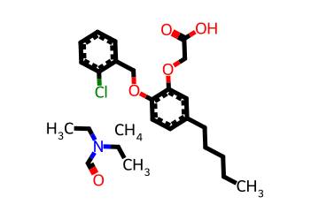 C.CCCCCc1ccc(OCc2ccccc2Cl)c(OCC(=O)O)c1.CCN(C=O)CC